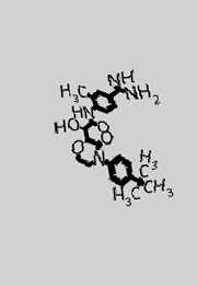 Cc1cc(C(=N)N)ccc1NC(=O)[C@H](O)[C@H]1OCCN(c2ccc(C(C)(C)C)cc2)C1=O